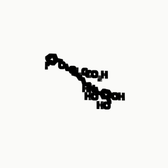 CC(=O)O.OCc1cc([C@@H](O)CNCCCCCCOCCOCc2cccc(I)c2)ccc1O